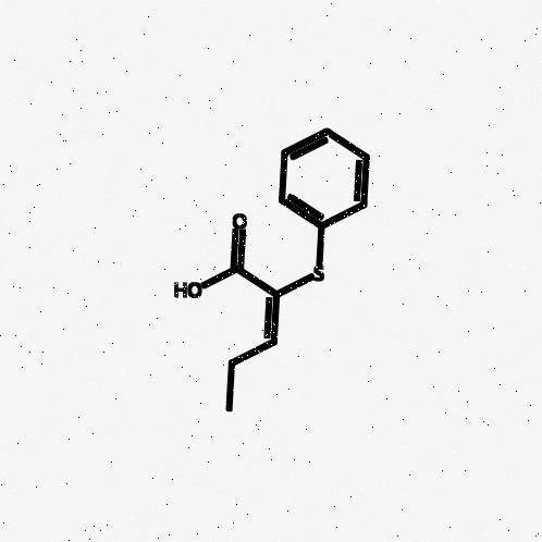 CC/C=C(/Sc1ccccc1)C(=O)O